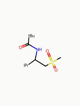 CC(C)C(CS(C)(=O)=O)NC(=O)C(C)(C)C